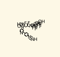 NCC(Cc1n[nH]c(=O)n1-c1ccnc(-c2ccc(N3CCNCC3)cc2)c1)=C(F)F.O=C(O)C(F)(F)F.O=C(O)C(F)(F)F